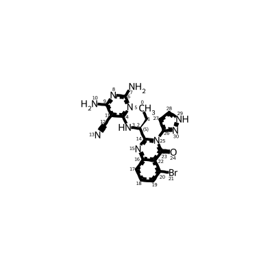 CC[C@H](Nc1nc(N)nc(N)c1C#N)c1nc2cccc(Br)c2c(=O)n1-c1cc[nH]n1